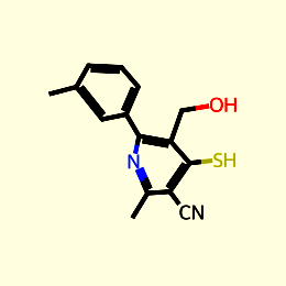 Cc1cccc(-c2nc(C)c(C#N)c(S)c2CO)c1